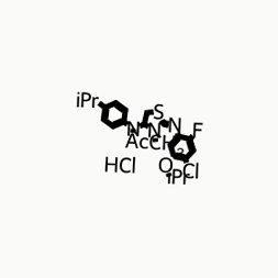 CC(=O)N(c1ccc(C(C)C)cc1)C1CSC(=Nc2cc(OC(C)C)c(Cl)cc2F)N1C.Cl